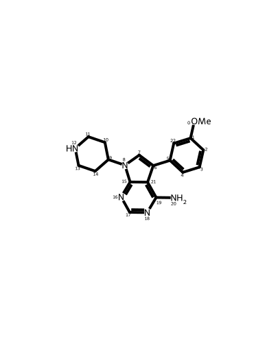 COc1cccc(-c2cn(C3CCNCC3)c3ncnc(N)c23)c1